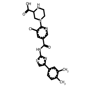 Cc1ccc(-c2csc(NC(=O)c3cnc(N4CCNC(C(=O)O)C4)c(Cl)c3)n2)cc1C